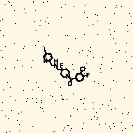 O=C(c1ccc(F)c(Cl)c1)N1CCC(F)(CNCc2ccc(I)cn2)CC1